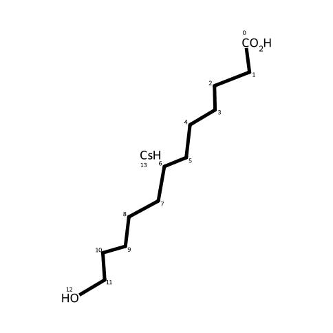 O=C(O)CCCCCCCCCCCO.[CsH]